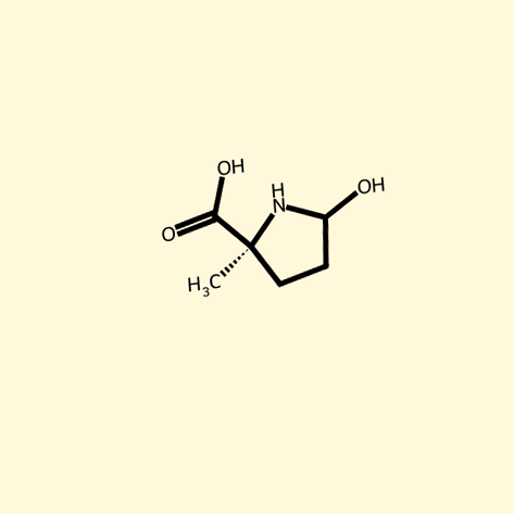 C[C@@]1(C(=O)O)CCC(O)N1